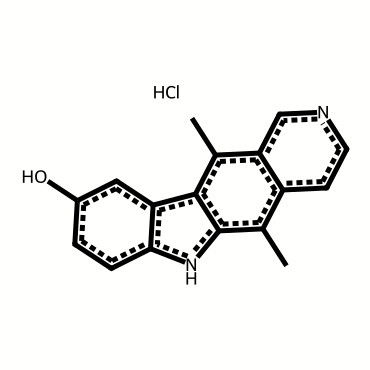 Cc1c2ccncc2c(C)c2c1[nH]c1ccc(O)cc12.Cl